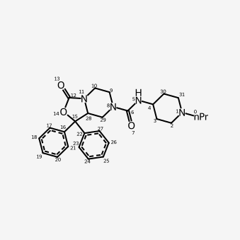 CCCN1CCC(NC(=O)N2CCN3C(=O)OC(c4ccccc4)(c4ccccc4)C3C2)CC1